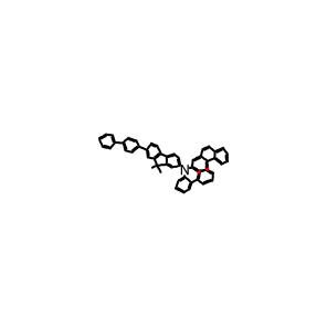 CC1(C)c2cc(-c3ccc(-c4ccccc4)cc3)ccc2-c2ccc(N(c3ccc4c(ccc5ccccc54)c3)c3ccccc3-c3ccccc3)cc21